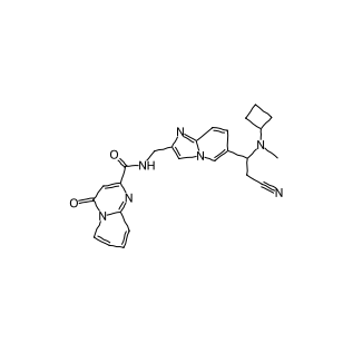 CN(C1CCC1)C(CC#N)c1ccc2nc(CNC(=O)c3cc(=O)n4ccccc4n3)cn2c1